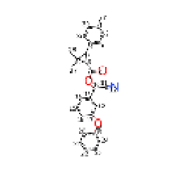 Cc1ccc(C2C(C(=O)OC(C#N)c3cccc(Oc4ccccc4)c3)C2(C)C)cc1